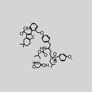 COc1ccc(S(=O)(=O)N(CC[C@H](Cc2ccc(OCc3ccccc3-c3sc4c(c3C(=O)O)CC(C)(C)CC4)cc2)NC(=O)OC(C)C[C@@H]2[C@@H](O)CO[C@@H]2C)CC(C)C)cc1